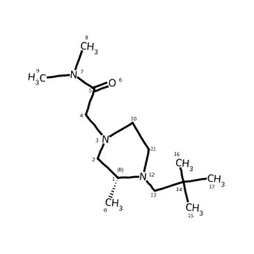 C[C@@H]1CN(CC(=O)N(C)C)CCN1CC(C)(C)C